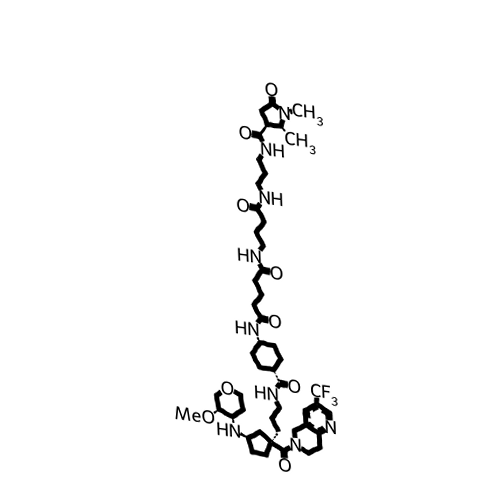 CO[C@@H]1COCC[C@@H]1N[C@@H]1CC[C@](CCCNC(=O)[C@H]2CC[C@@H](NC(=O)CCCC(=O)NCCCC(=O)NCCCNC(=O)[C@H]3CC(=O)N(C)[C@@H]3C)CC2)(C(=O)N2CCc3ncc(C(F)(F)F)cc3C2)C1